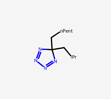 CCCCCCC1(CC(C)C)N=NN=N1